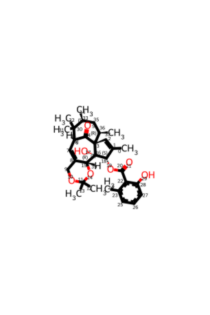 CC1=C[C@]23C(=O)[C@@H](C=C4COC(C)(C)O[C@H]4[C@]2(O)[C@H]1OC(=O)c1c(C)cccc1O)C(C)(C)[C@@H](C)C[C@H]3C